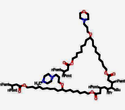 CCCCCC(CCCCC)CC(=O)OCCCCCCCCCC(CCCCCCCOC(=O)CC(CCCCC)CC(CCC)C(CCCC)C(CCCCC)CC(=O)OCCCCCCCCCC(CCCCCCCOC(=O)CC(CCCCC)CCCCC)OCCCN1CCOCC1)OCCCN1CCN(C)CC1